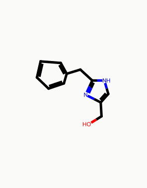 OCc1c[nH]c(Cc2ccccc2)n1